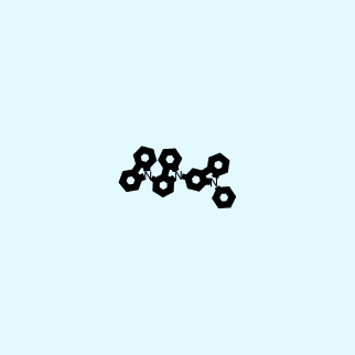 c1ccc(-n2c3ccccc3c3cc(-n4c5ccccc5c5c(-n6c7ccccc7c7ccccc76)cccc54)ccc32)cc1